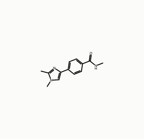 CNC(=O)c1ccc(-c2cn(C)c(C)n2)cc1